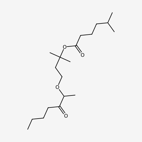 CCCCC(=O)C(C)OCCC(C)(C)OC(=O)CCCC(C)C